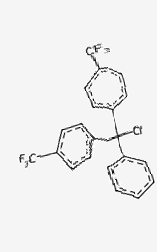 FC(F)(F)c1ccc(C(Cl)(c2ccccc2)c2ccc(C(F)(F)F)cc2)cc1